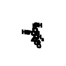 C[C@]12CCC3C(CC(CO)C4=C/C(=N/O)CC[C@@H]43)C1C1CC1[C@@]21CCC(=O)O1